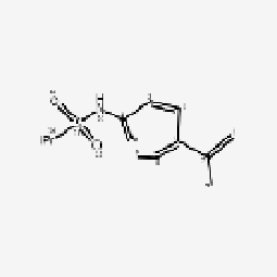 C=C(/C=C\C(=C/C)C(=C)C)NS(=O)(=O)C(C)C